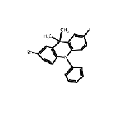 CC1(C)c2cc(Br)ccc2N(c2ccccc2)c2ccc(I)cc21